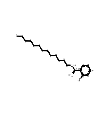 CCCCCCCCCCCCCOC(=O)c1ccccc1F